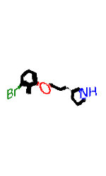 Cc1c(Br)cccc1OCCC[C@H]1CCCNC1